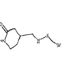 O=C1CC(CNSS)CCN1